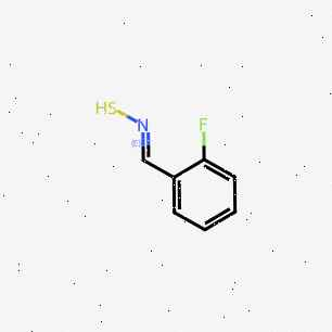 Fc1ccccc1/C=N/S